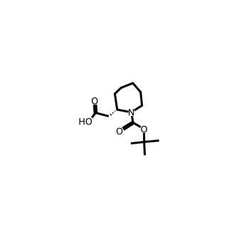 CC(C)(C)OC(=O)N1CCCCC[C@H]1CC(=O)O